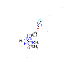 Cc1nc(N[C@@H]2CCC[C@@H](COc3ccc(C(F)(F)F)nc3)C2)nc2c1NC(=O)[C@H](C)N2C